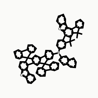 CC1(C)c2cc(N(c3ccc4c(c3)C3(c5ccccc5-c5ccccc53)c3cc5c(cc3-4)C3(c4ccccc4-c4ccccc43)c3ccc4oc6ccccc6c4c3-5)c3ccc4ccccc4c3)ccc2-c2c1c1c(c3c2oc2ccccc23)-c2ccccc2C1(C)C